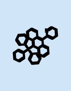 c1ccc([Si](c2ccccc2)(c2ccccc2)c2c3ccccc3c(-c3ccccn3)c3ccccc23)cc1